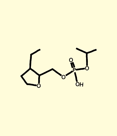 CCC1CCOC1COP(=O)(O)OC(C)C